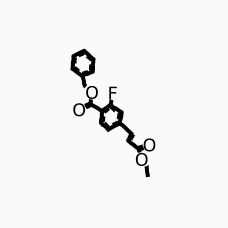 CCOC(=O)C=Cc1ccc(C(=O)OCc2ccccc2)c(F)c1